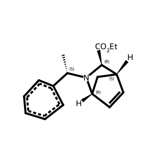 CCOC(=O)[C@H]1[C@@H]2C=C[C@@H](C2)N1[C@@H](C)c1ccccc1